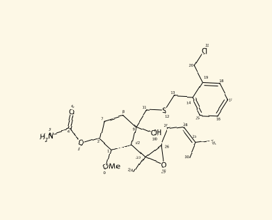 COC1C(OC(N)=O)CCC(O)(CSCc2ccccc2CCl)C1C1(C)OC1CC=C(C)C